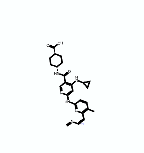 C=N/C=C\c1nc(Nc2cc(NC3CC3)c(C(=O)N[C@H]3CC[C@H](C(=O)O)CC3)cn2)ccc1C